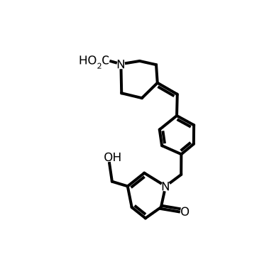 O=C(O)N1CCC(=Cc2ccc(Cn3cc(CO)ccc3=O)cc2)CC1